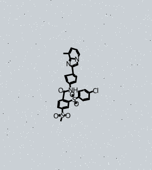 Cc1cccn2cc(-c3ccc(NC(=O)c4ccc(S(C)(=O)=O)cc4S(=O)(=O)c4ccc(Cl)cc4)cc3)nc12